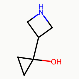 OC1(C2CNC2)CC1